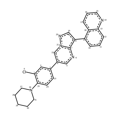 Clc1cc(-c2cnc3c(-c4cccc5ncccc45)cnn3c2)ccc1N1CCCCC1